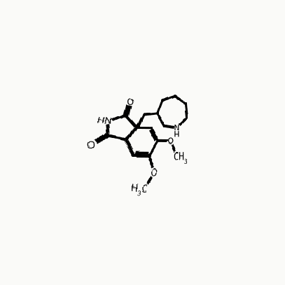 COC1=CC2C(=O)NC(=O)C2(CC2CCCCNC2)C=C1OC